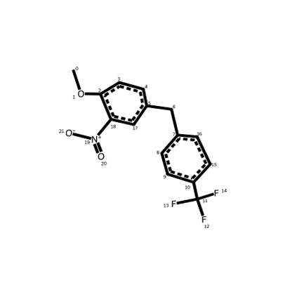 COc1ccc(Cc2ccc(C(F)(F)F)cc2)cc1[N+](=O)[O-]